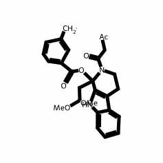 [CH2]c1cccc(C(=O)OC2(CC(OC)OC)c3[nH]c4ccccc4c3CCN2C(=O)CC(C)=O)c1